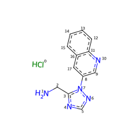 Cl.NCc1ncnn1-c1cnc2ccccc2c1